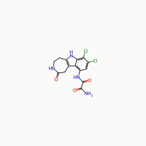 NC(=O)C(=O)Nc1cc(Cl)c(Cl)c2[nH]c3c(c12)CC(=O)NCC3